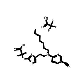 CCCCCCCN(CCc1csc(SC(C)(C)C(=O)O)n1)c1ccc(C#N)cn1.O=C(O)C(F)(F)F